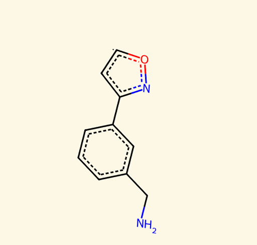 NCc1cccc(-c2c[c]on2)c1